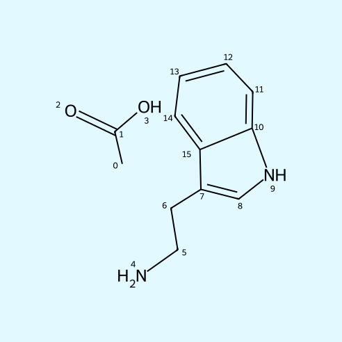 CC(=O)O.NCCc1c[nH]c2ccccc12